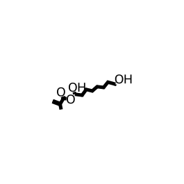 C=C(C)C(=O)OC(O)CCCCCCCO